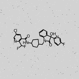 O=C(NC1CCC(CN2C(=O)C(O)(c3ccc(F)cn3)c3ccccc32)CC1)c1cc(Cl)cnc1C(F)F